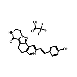 O=C(O)C(F)(F)F.O=C1NCCn2nc3c(c21)CCc1cnc(/C=C/c2ccc(O)cc2)cc1-3